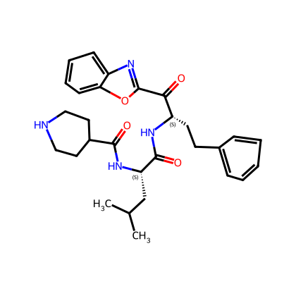 CC(C)C[C@H](NC(=O)C1CCNCC1)C(=O)N[C@@H](CCc1ccccc1)C(=O)c1nc2ccccc2o1